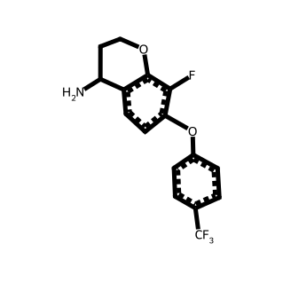 NC1CCOc2c1ccc(Oc1ccc(C(F)(F)F)cc1)c2F